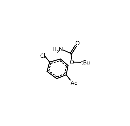 CC(=O)c1ccc(Cl)cc1.CC(C)(C)OC(N)=O